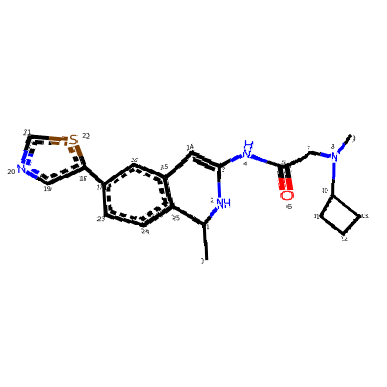 CC1NC(NC(=O)CN(C)C2CCC2)=Cc2cc(-c3cncs3)ccc21